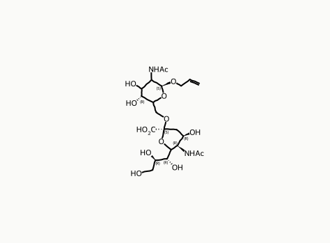 C=CCO[C@H]1OC(CO[C@@]2(C(=O)O)C[C@@H](O)[C@@H](NC(C)=O)C([C@H](O)[C@H](O)CO)O2)[C@H](O)C(O)C1NC(C)=O